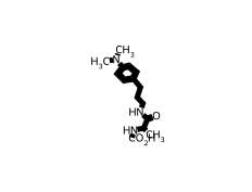 CC(NC(=O)O)C(=O)NCCCc1ccc(N(C)C)cc1